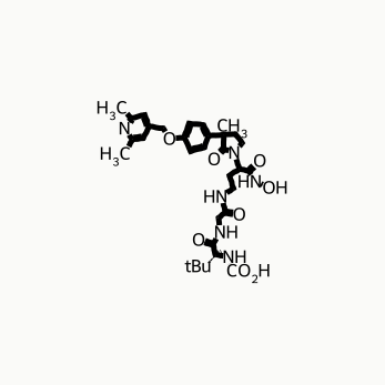 Cc1cc(COc2ccc(C3(C)CCN(C(CCNC(=O)CNC(=O)[C@H](NC(=O)O)C(C)(C)C)C(=O)NO)C3=O)cc2)cc(C)n1